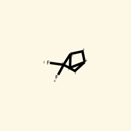 FC1(F)CC2CC1C2